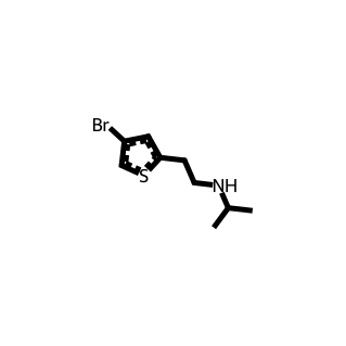 CC(C)NCCc1cc(Br)cs1